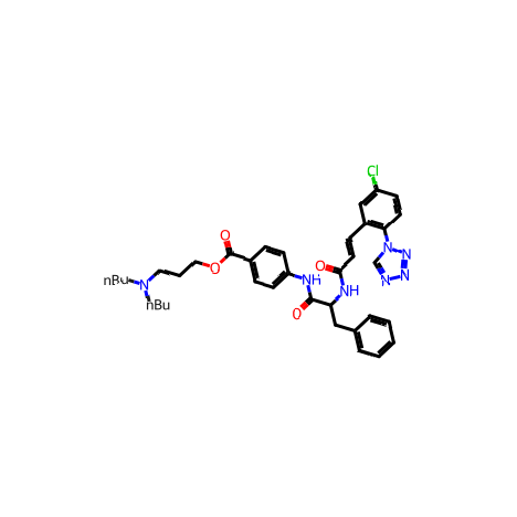 CCCCN(CCCC)CCCOC(=O)c1ccc(NC(=O)C(Cc2ccccc2)NC(=O)C=Cc2cc(Cl)ccc2-n2cnnn2)cc1